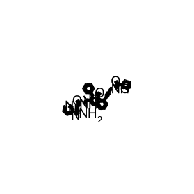 C[C@H](NC(=O)c1c(N)nc2cccnn12)c1cc2cccc(C#CCNC(=O)C3CCCO3)c2c(=O)n1-c1ccccc1